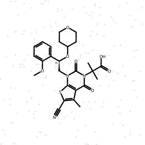 COc1ccccc1[C@H](Cn1c(=O)n(C(C)(C)C(=O)O)c(=O)c2c(C)c(C#N)sc21)OC1CCOCC1